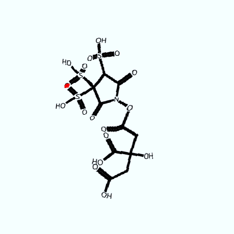 O=C(O)CC(O)(CC(=O)ON1C(=O)C(S(=O)(=O)O)C(S(=O)(=O)O)(S(=O)(=O)O)C1=O)C(=O)O